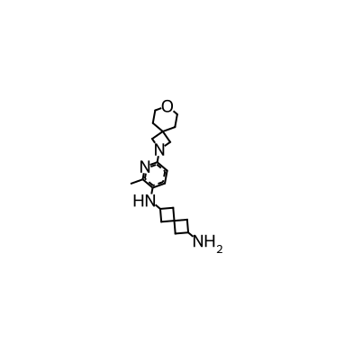 Cc1nc(N2CC3(CCOCC3)C2)ccc1NC1CC2(CC(N)C2)C1